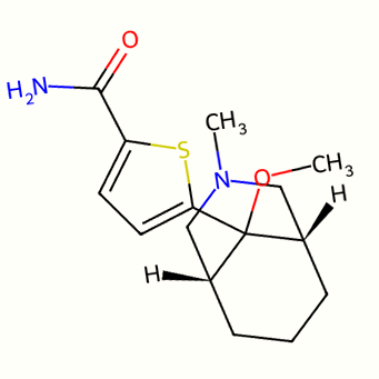 COC1(c2ccc(C(N)=O)s2)[C@@H]2CCC[C@H]1CN(C)C2